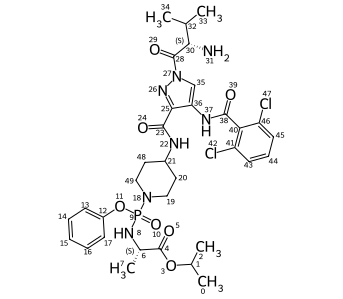 CC(C)OC(=O)[C@H](C)NP(=O)(Oc1ccccc1)N1CCC(NC(=O)c2nn(C(=O)[C@@H](N)C(C)C)cc2NC(=O)c2c(Cl)cccc2Cl)CC1